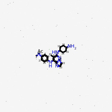 CC(=O)N(C)c1ccc(Nc2c(C)c(NC3CCC(N)CC3)nn3ccnc23)cc1